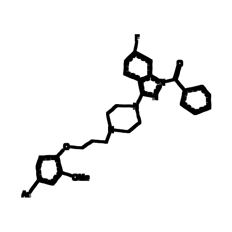 COc1cc(C(C)=O)ccc1OCCCN1CCN(c2nn(C(=O)c3ccccc3)c3cc(F)ccc23)CC1